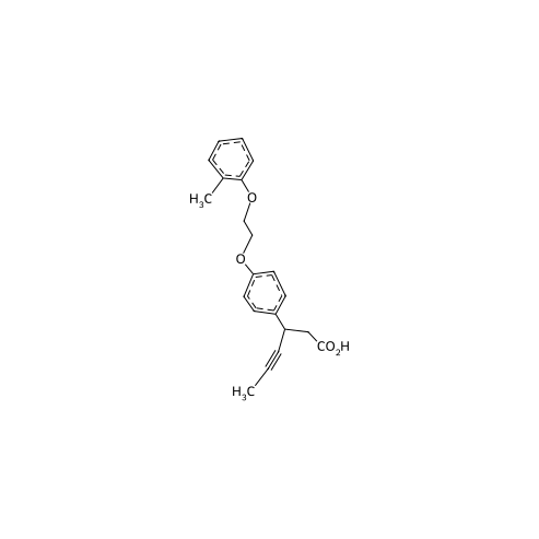 CC#CC(CC(=O)O)c1ccc(OCCOc2ccccc2C)cc1